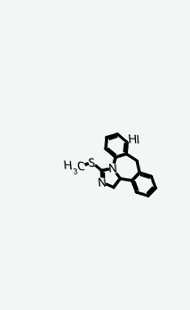 CSC1=NCC2c3ccccc3Cc3ccccc3N12.I